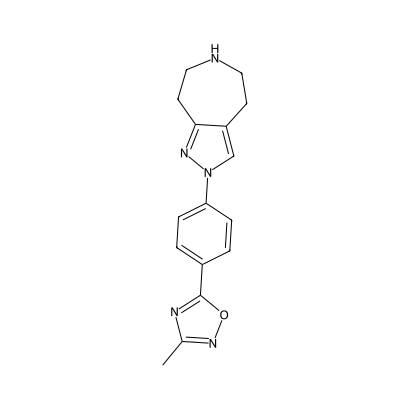 Cc1noc(-c2ccc(-n3cc4c(n3)CCNCC4)cc2)n1